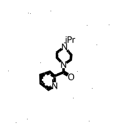 CC(C)N1CCN(C(=O)c2ccccn2)CC1